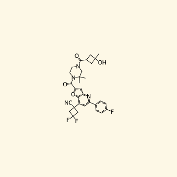 CC1(O)CC(C(=O)N2CCN(C(=O)c3cc4nc(-c5ccc(F)cc5)cc(C5(C#N)CC(F)(F)C5)c4o3)C(C)(C)C2)C1